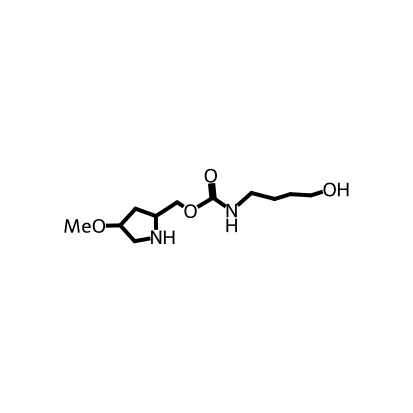 COC1CNC(COC(=O)NCCCCO)C1